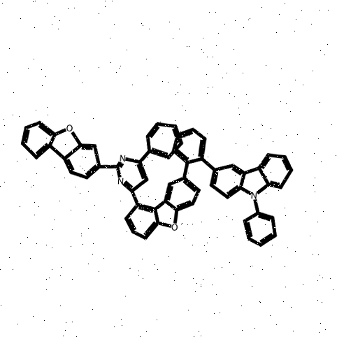 c1ccc(-c2cc(-c3cccc4oc5ccc(-c6ccccc6-c6ccc7c(c6)c6ccccc6n7-c6ccccc6)cc5c34)nc(-c3ccc4c(c3)oc3ccccc34)n2)cc1